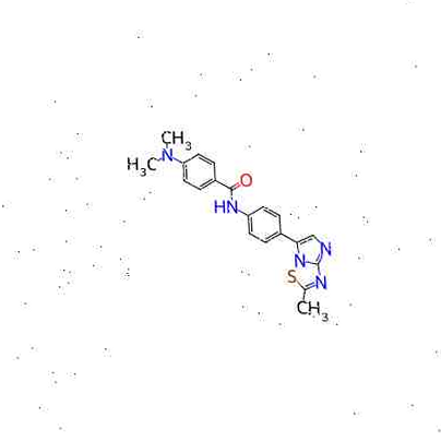 Cc1nc2ncc(-c3ccc(NC(=O)c4ccc(N(C)C)cc4)cc3)n2s1